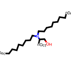 CCCCCCCCCCCCCCCCCCN(CCCCCCCCCCCCCCCCCC)C(CO)CCCCCCCC